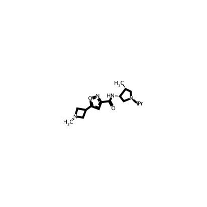 CC(C)N1C[C@@H](C)[C@@H](NC(=O)c2cc(C3CN(C)C3)on2)C1